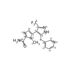 Cn1c(-c2c(C(F)(F)F)n[nH]c2Cc2cccnc2)cnc1C(N)=O